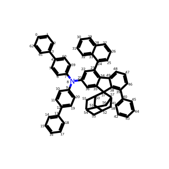 c1ccc(-c2ccc(N(c3ccc(-c4ccccc4)cc3)c3cc(-c4cccc5ccccc45)c4c(c3)C3(c5c(-c6ccccc6)cccc5-4)C4CC5CC(C4)CC3C5)cc2)cc1